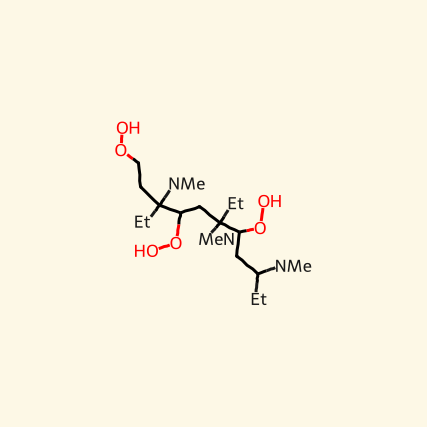 CCC(CC(OO)C(CC)(CC(OO)C(CC)(CCOO)NC)NC)NC